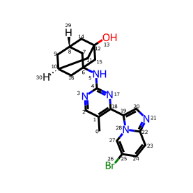 Cc1cnc(NC23C[C@@H]4C[C@@H](CC(O)(C4)C2)C3)nc1-c1cnc2ccc(Br)cn12